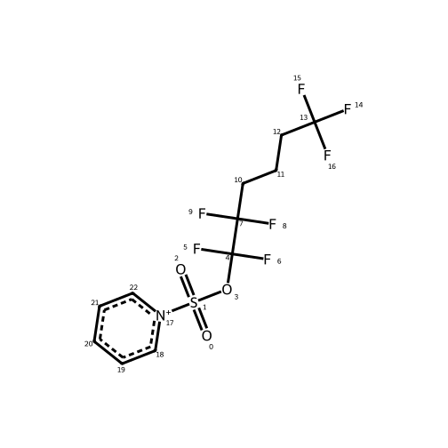 O=S(=O)(OC(F)(F)C(F)(F)CCCC(F)(F)F)[n+]1ccccc1